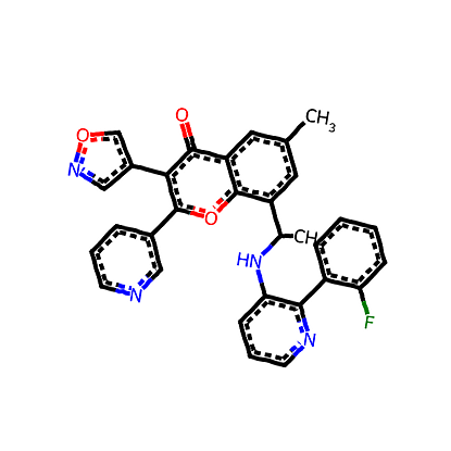 Cc1cc(C(C)Nc2cccnc2-c2ccccc2F)c2oc(-c3cccnc3)c(-c3cnoc3)c(=O)c2c1